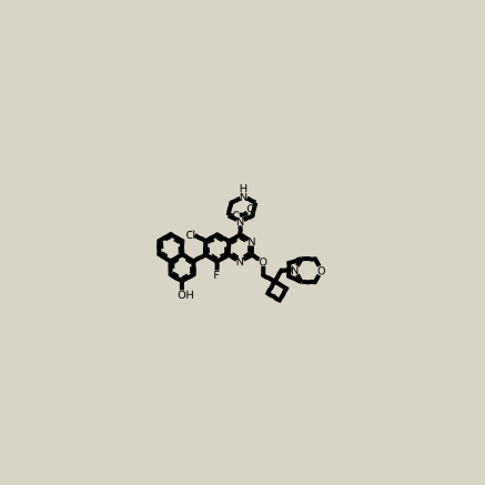 Oc1cc(-c2c(Cl)cc3c(N4CC5CCCC4CN5)nc(OCC4(CN5C6CCC5COC6)CCC4)nc3c2F)c2ccccc2c1